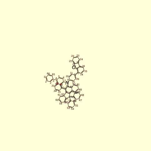 c1ccc(-c2ccc(N(c3ccc(-c4cccc5c4oc4ccccc45)cc3)c3c(-c4ccccc4)c4c(c5ccccc35)C(c3ccccc3)(c3ccccc3)c3ccccc3-4)cc2)cc1